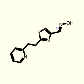 O/N=C/c1csc(CCc2ccccn2)n1